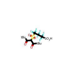 CC(C)(C)C(=O)C(C(=O)C(C)(C)C)S(=O)(=O)C(F)(F)C(F)(F)C(F)(F)S(=O)(=O)O